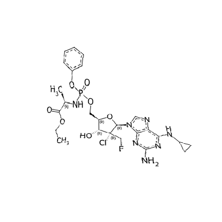 CCOC(=O)[C@@H](C)NP(=O)(OC[C@H]1O[C@@H](n2cnc3c(NC4CC4)nc(N)nc32)[C@@](Cl)(CF)[C@@H]1O)Oc1ccccc1